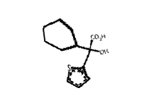 O=C(O)[C@@](O)(c1cccs1)C1CCCCC1